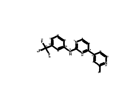 Cc1cc(-c2ccnc(Nc3cccc(C(F)(F)F)c3)n2)ccn1